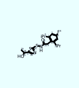 CC(C)c1cc(F)cc(C(C)C)c1CC(=O)NSc1ncc(C(C)O)s1